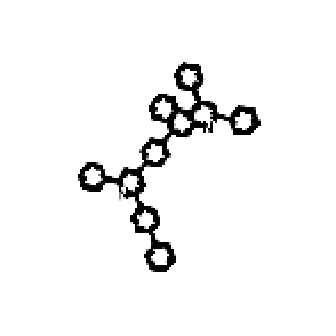 c1ccc(-c2ccc(-c3cc(-c4ccc(-c5cc6nc(-c7ccccc7)cc(-c7ccccc7)c6c6ccccc56)cc4)cc(-c4ccccc4)n3)cc2)cc1